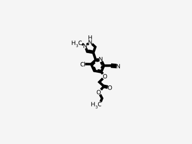 CCOC(=O)COc1cc(Cl)c(C2=CN(C)NC2)nc1C#N